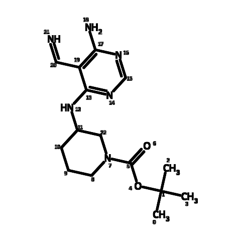 CC(C)(C)OC(=O)N1CCCC(Nc2ncnc(N)c2C=N)C1